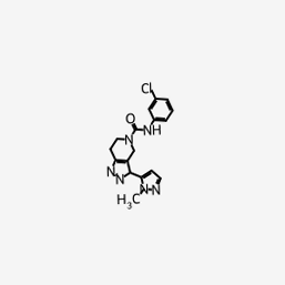 Cn1nccc1C1N=NC2=C1CN(C(=O)Nc1cccc(Cl)c1)CC2